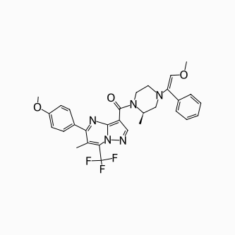 CO/C=C(\c1ccccc1)N1CCN(C(=O)c2cnn3c(C(F)(F)F)c(C)c(-c4ccc(OC)cc4)nc23)[C@H](C)C1